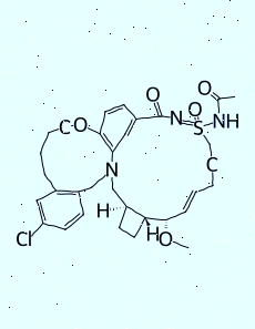 CO[C@H]1/C=C/CCCS(=O)(NC(C)=O)=NC(=O)c2ccc3c(c2)N(Cc2ccc(Cl)cc2CCCCO3)C[C@@H]2CC[C@H]21